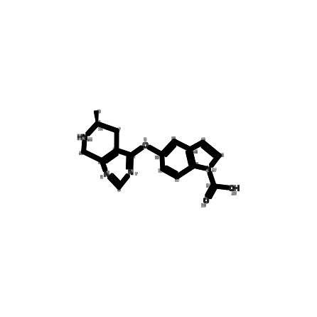 C[C@H]1Cc2c(ncnc2Oc2ccc3c(ccn3C(=O)O)c2)CN1